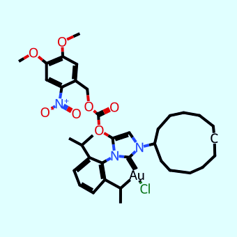 COc1cc(COC(=O)Oc2cn(C3CCCCCCCCCCC3)/[c](=[Au]\[Cl])n2-c2c(C(C)C)cccc2C(C)C)c([N+](=O)[O-])cc1OC